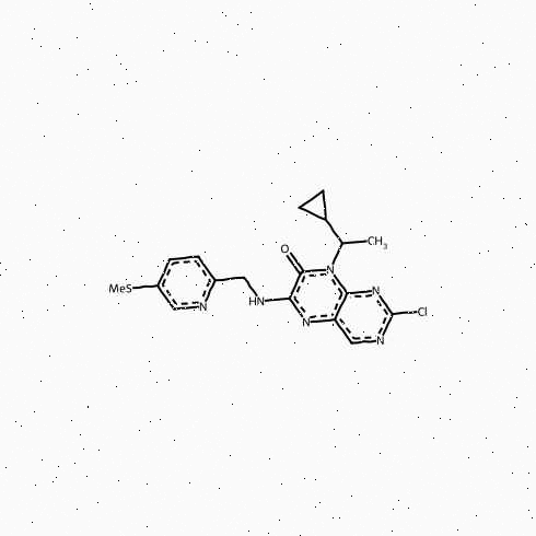 CSc1ccc(CNc2nc3cnc(Cl)nc3n(C(C)C3CC3)c2=O)nc1